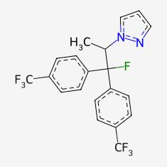 CC(n1cccn1)C(F)(c1ccc(C(F)(F)F)cc1)c1ccc(C(F)(F)F)cc1